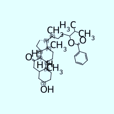 CC(C)C(CC[C@@H](C)[C@H]1CC[C@H]2[C@@H]3C(=O)CC4C[C@@H](O)CC[C@]4(C)[C@H]3CC[C@]12C)OC(=O)c1ccccc1